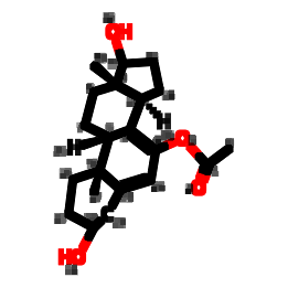 CC(=O)OC1=C2[C@@H](CC[C@]3(C)C(O)CC[C@@H]23)[C@@]2(C)CCC(O)CC2=C1